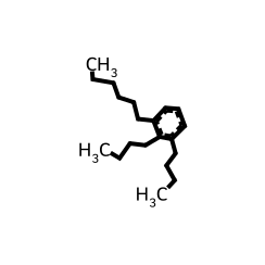 CCCCCCc1cccc(CCCC)c1CCCC